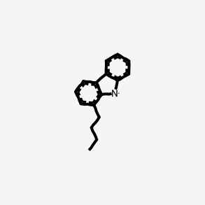 CCCCc1cccc2c1[N]c1ccccc1-2